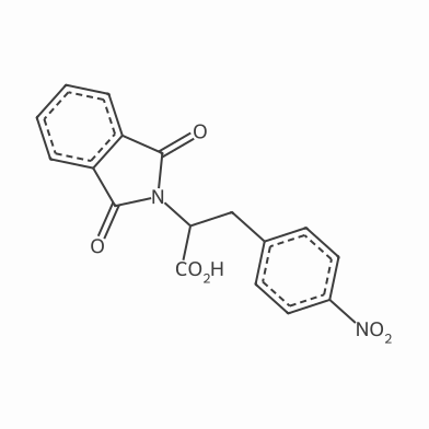 O=C(O)C(Cc1ccc([N+](=O)[O-])cc1)N1C(=O)c2ccccc2C1=O